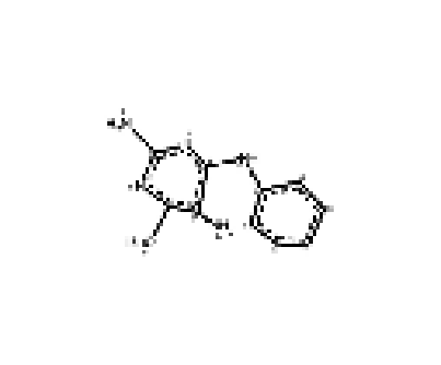 CC(C)COc1nc(N)nc(Nc2ccccc2)c1N